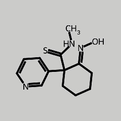 CNC(=S)C1(c2cccnc2)CCCCC1=NO